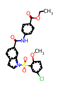 CCOC(=O)c1ccc(NC(=O)c2ccc3ccn(S(=O)(=O)c4cc(Cl)ccc4OC)c3c2)cc1